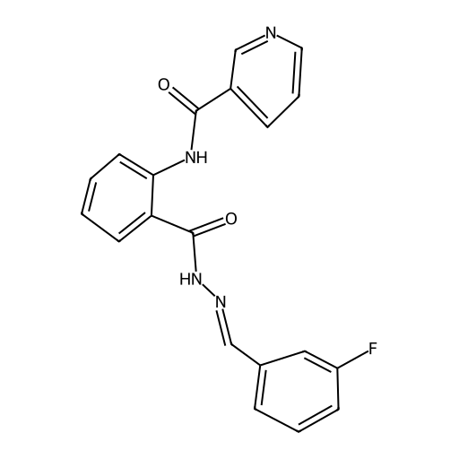 O=C(Nc1ccccc1C(=O)N/N=C/c1cccc(F)c1)c1cccnc1